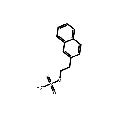 CS(=O)(=O)OCCc1ccc2ccccc2c1